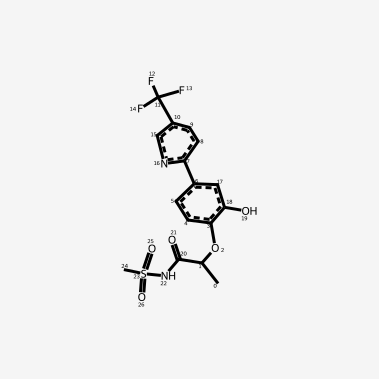 CC(Oc1ccc(-c2ccc(C(F)(F)F)cn2)cc1O)C(=O)NS(C)(=O)=O